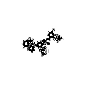 CC(C)(C)NS(=O)(=O)c1cc(CO[Si](c2ccccc2)(c2ccccc2)C(C)(C)C)ccc1NS(=O)(=O)CCc1ccc(F)cc1O[Si](C)(C)C(C)(C)C